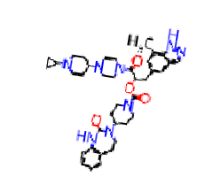 Cc1cc(CC(OC(=O)N2CCC(N3CCc4ccccc4NC3=O)CC2)C(=O)N2CCN(C3CCN(C4CC4)CC3)CC2)cc2cn[nH]c12